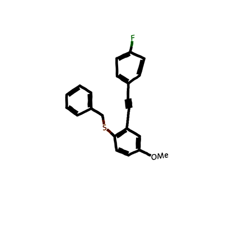 COc1ccc(SCc2ccccc2)c(C#Cc2ccc(F)cc2)c1